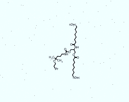 CCCCCCCCCCCCCCCCCC(=O)NC(COC(=O)CCCCCCCCCCCCCCCCC)COC(=O)NCCCC(C)(C)OCCC(C)C